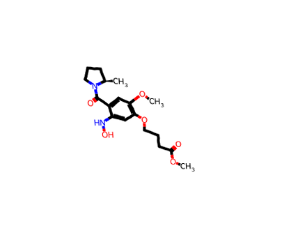 COC(=O)CCCOc1cc(NO)c(C(=O)N2CCC[C@H]2C)cc1OC